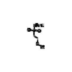 [CH2]COCCS(=O)(=O)CCCCC